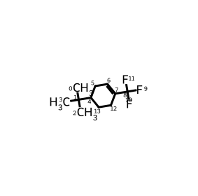 CC(C)(C)C1CC=C(C(F)(F)F)CC1